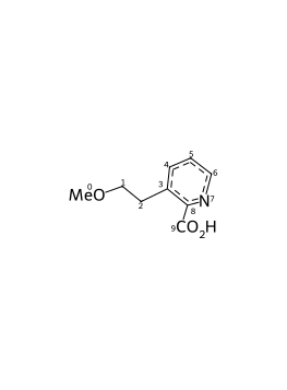 COCCc1cccnc1C(=O)O